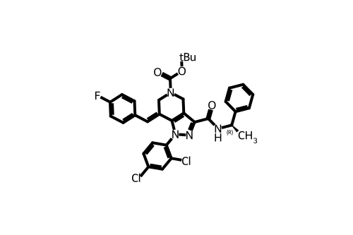 C[C@@H](NC(=O)c1nn(-c2ccc(Cl)cc2Cl)c2c1CN(C(=O)OC(C)(C)C)CC2=Cc1ccc(F)cc1)c1ccccc1